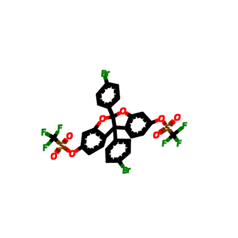 O=S(=O)(Oc1ccc2c(c1)OC1(c3ccc(Br)cc3)Oc3cc(OS(=O)(=O)C(F)(F)F)ccc3C21c1ccc(Br)cc1)C(F)(F)F